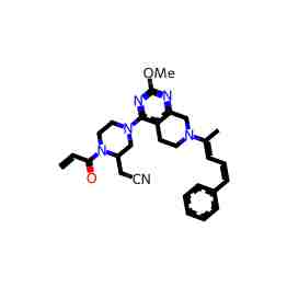 C=CC(=O)N1CCN(c2nc(OC)nc3c2CCN(/C(C)=C/C=C\c2ccccc2)C3)CC1CC#N